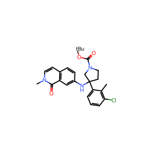 Cc1c(Cl)cccc1C1(Nc2ccc3ccn(C)c(=O)c3c2)CCN(C(=O)OC(C)(C)C)C1